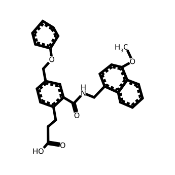 COc1ccc(CNC(=O)c2cc(COc3ccccc3)ccc2CCC(=O)O)c2ccccc12